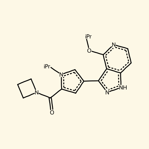 CC(C)Oc1nccc2[nH]nc(-c3cc(C(=O)N4CCC4)n(C(C)C)c3)c12